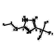 CCSc1nc(C(F)(F)F)n[nH]1